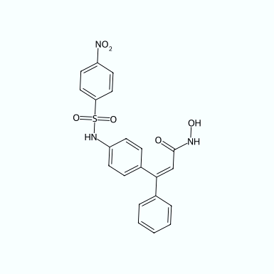 O=C(C=C(c1ccccc1)c1ccc(NS(=O)(=O)c2ccc([N+](=O)[O-])cc2)cc1)NO